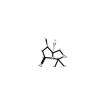 C[C@@H]1CC(=O)N2[C@@H]1COC2(C)C